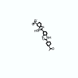 CC(=O)c1ccc(C(=O)Nc2ccc(-c3nc4ccc([N+](=O)[O-])cc4n3O)cc2F)cc1